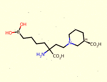 NC(CCCCB(O)O)(CCN1CCC[C@@H](C(=O)O)C1)C(=O)O